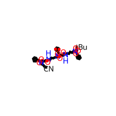 CC(C)(C)OC(=O)N(CCCCCNC(=O)CCC(=O)N(CCCCCNC(=O)CCC(=O)N(CCCCC#N)OCc1ccccc1)OCc1ccccc1)OCc1ccccc1